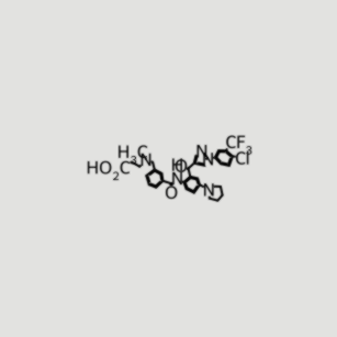 CN(CCC(=O)O)Cc1cccc(C(=O)Nc2ccc(N3CCCCC3)cc2C(=O)c2cnn(-c3ccc(Cl)c(C(F)(F)F)c3)c2)c1